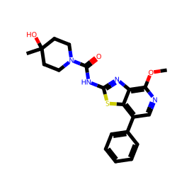 COc1ncc(-c2ccccc2)c2sc(NC(=O)N3CCC(C)(O)CC3)nc12